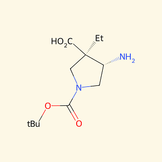 CC[C@@]1(C(=O)O)CN(C(=O)OC(C)(C)C)C[C@H]1N